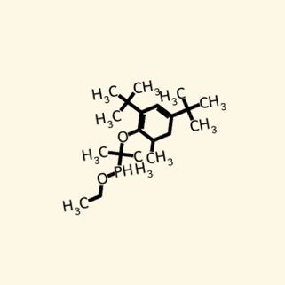 CCOPC(C)(C)OC1=C(C(C)(C)C)C=C(C(C)(C)C)CC1C